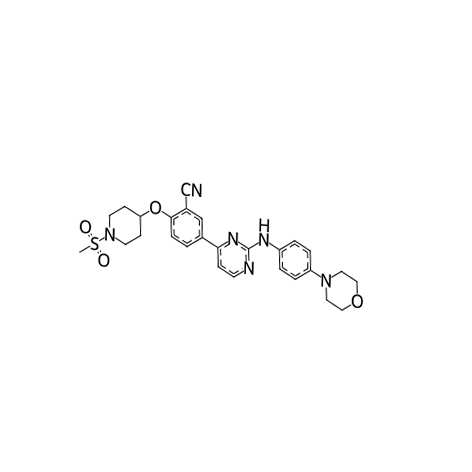 CS(=O)(=O)N1CCC(Oc2ccc(-c3ccnc(Nc4ccc(N5CCOCC5)cc4)n3)cc2C#N)CC1